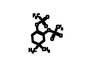 CC1(C)CCC(OS(=O)(=O)C(F)(F)F)=C(OS(=O)(=O)C(F)(F)F)C1